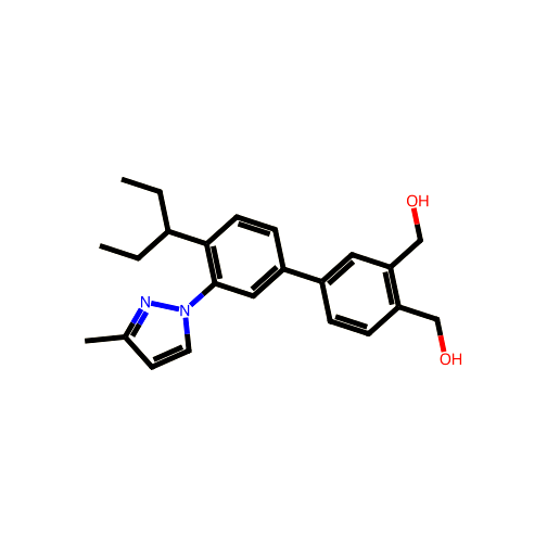 CCC(CC)c1ccc(-c2ccc(CO)c(CO)c2)cc1-n1ccc(C)n1